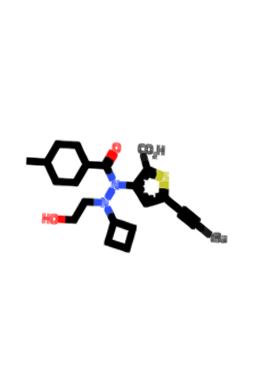 CC1CCC(C(=O)N(c2cc(C#CC(C)(C)C)sc2C(=O)O)N(CCO)C2CCC2)CC1